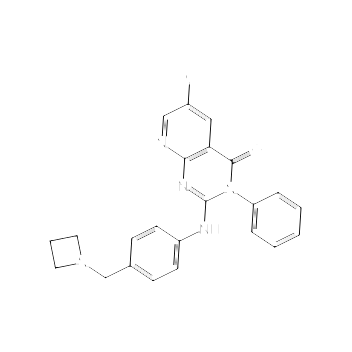 O=c1c2cc(Cl)cnc2nc(Nc2ccc(CN3CCC3)cc2)n1-c1ccccc1